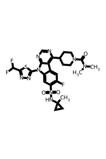 CN(C)C(=O)N1CCC(c2ncnc3c2c2cc(F)c(S(=O)(=O)NC4(C)CC4)cc2n3-c2nnc(C(F)F)s2)CC1